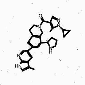 Cc1c[nH]c2ncc(-c3cc4c(c(C5CCCN5)c3)CN(C(=O)c3cnn(C5CC5)c3C)CC4)cc12